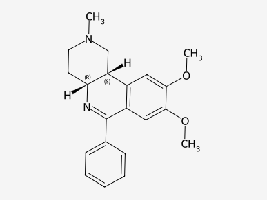 COc1cc2c(cc1OC)[C@H]1CN(C)CC[C@H]1N=C2c1ccccc1